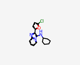 Clc1ccc(-c2nc3ccccn3c2NC2CCCCC2)o1